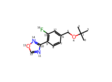 CC(C)(C)OCc1ccc(-c2ncon2)c(F)c1